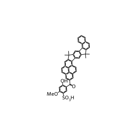 COc1cc(O)c(C(=O)c2cc3ccc4cc5c(c6ccc(c2)c3c46)-c2cc3c(cc2C5(C)C)-c2c(ccc4ccccc24)C3(C)C)cc1S(=O)(=O)O